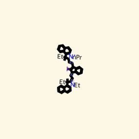 CCC[N+]1=C(/C=C/C2=C(I)C(=C/C=C3/N(CC)c4ccc5ccccc5c4C3(C)CC)/c3ccccc32)C(C)(CC)c2c1ccc1ccccc21